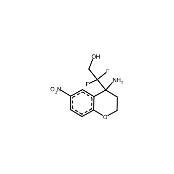 NC1(C(F)(F)CO)CCOc2ccc([N+](=O)[O-])cc21